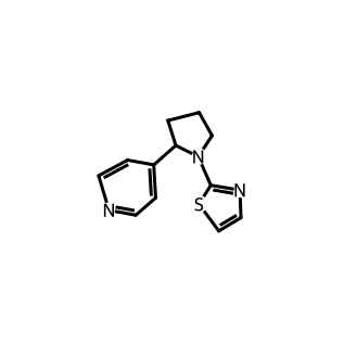 c1cc(C2CCCN2c2nccs2)ccn1